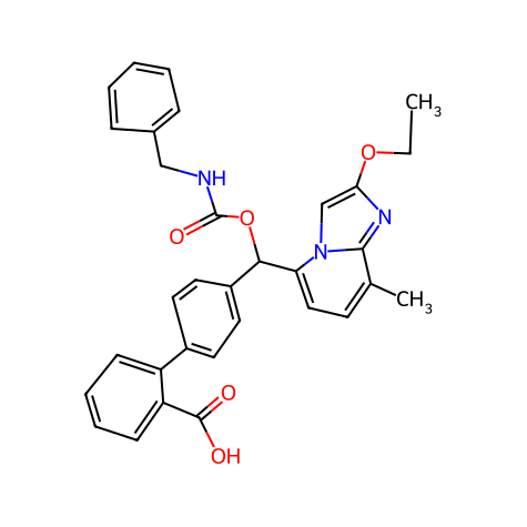 CCOc1cn2c(C(OC(=O)NCc3ccccc3)c3ccc(-c4ccccc4C(=O)O)cc3)ccc(C)c2n1